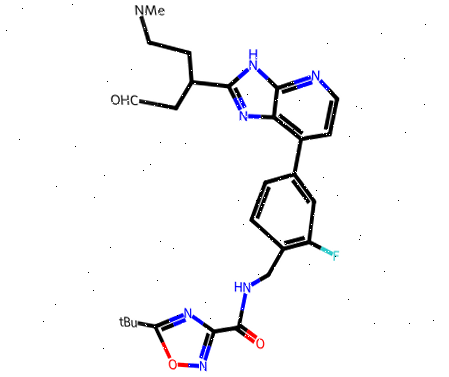 CNCCC(CC=O)c1nc2c(-c3ccc(CNC(=O)c4noc(C(C)(C)C)n4)c(F)c3)ccnc2[nH]1